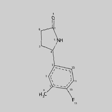 Cc1cc(C2CCC(=O)N2)ccc1F